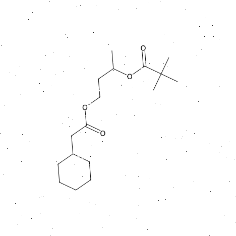 C[C](CCOC(=O)CC1CCCCC1)OC(=O)C(C)(C)C